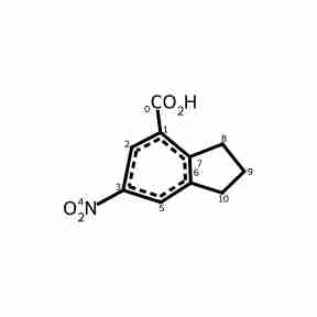 O=C(O)c1cc([N+](=O)[O-])cc2c1CCC2